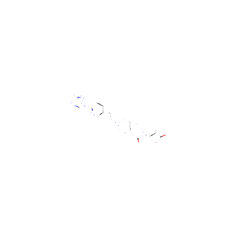 CC1=C(N2CCC3(CCN(C[C@@H](O)c4ccc(-n5cnnn5)nc4C)CC3)CC2=O)COC1=O